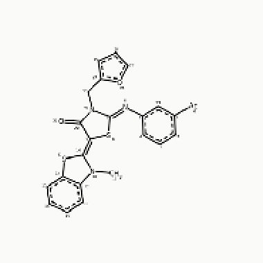 CC(=O)c1cccc(N=C2SC(=C3Sc4ccccc4N3C)C(=O)N2Cc2ccco2)c1